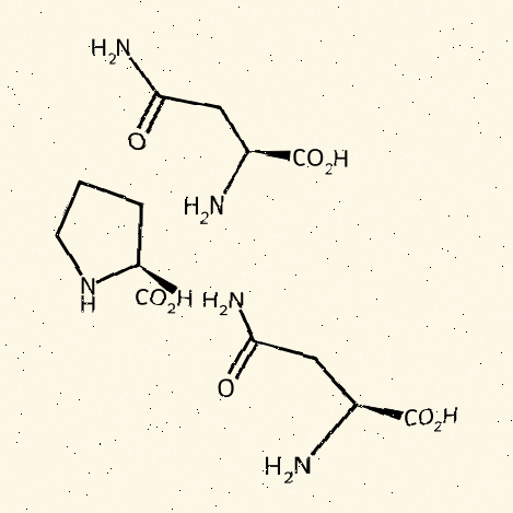 NC(=O)C[C@H](N)C(=O)O.NC(=O)C[C@H](N)C(=O)O.O=C(O)[C@@H]1CCCN1